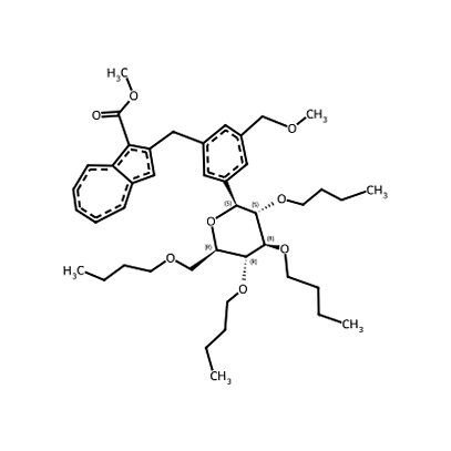 CCCCOC[C@H]1O[C@@H](c2cc(COC)cc(Cc3cc4cccccc-4c3C(=O)OC)c2)[C@H](OCCCC)[C@@H](OCCCC)[C@@H]1OCCCC